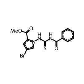 COC(=O)c1cc(Br)cn1NC(=S)NC(=O)c1ccccc1